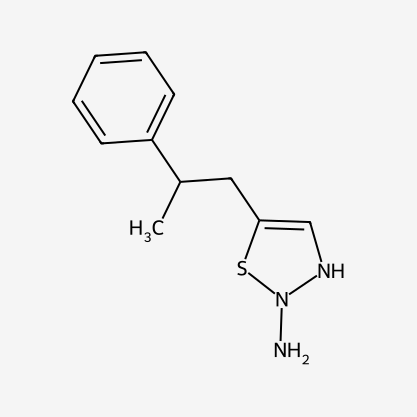 CC(CC1=CNN(N)S1)c1ccccc1